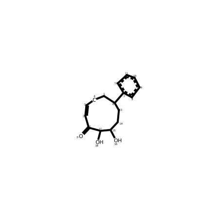 O=C1C=CCCC(c2ccccc2)CCC(O)C1O